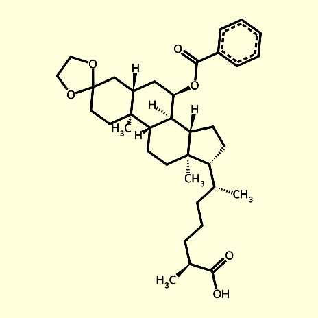 C[C@H](CCC[C@H](C)C(=O)O)[C@H]1CC[C@H]2[C@@H]3[C@H](OC(=O)c4ccccc4)C[C@H]4CC5(CC[C@]4(C)[C@H]3CC[C@]12C)OCCO5